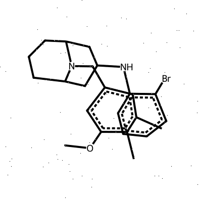 COc1cc(CN2C3CCCC2CC(Nc2ccccc2Br)C3)cc(C)c1C